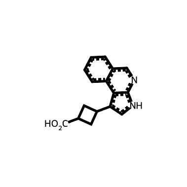 O=C(O)C1CC(c2c[nH]c3ncc4ccccc4c23)C1